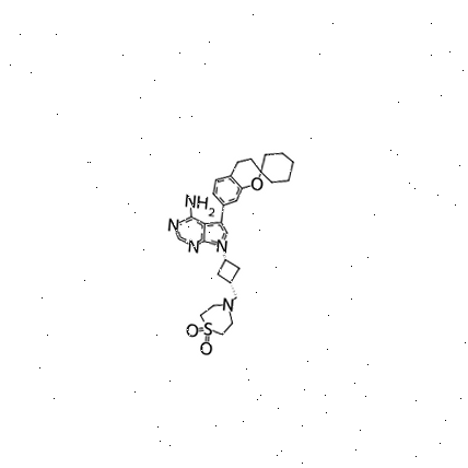 Nc1ncnc2c1c(-c1ccc3c(c1)OC1(CCCCC1)CC3)cn2[C@H]1C[C@@H](CN2CCS(=O)(=O)CC2)C1